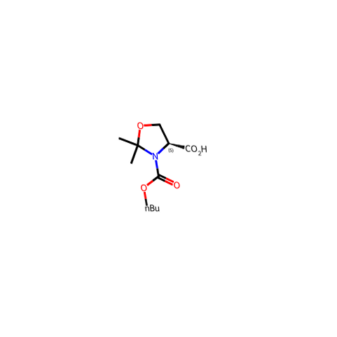 CCCCOC(=O)N1[C@H](C(=O)O)COC1(C)C